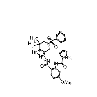 COc1ccc(C(=O)Nc2n[nH]c3c2CN(S(=O)(=O)c2cccnc2)CC3(C)C)c(NC(=O)c2ccc[nH]2)c1